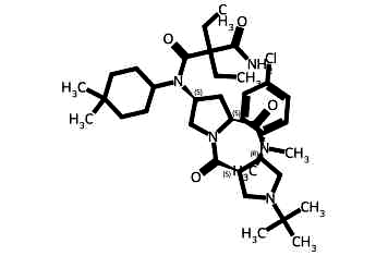 CCC(CC)(C(N)=O)C(=O)N(C1CCC(C)(C)CC1)[C@H]1C[C@@H](C(=O)N(C)C)N(C(=O)[C@@H]2CN(C(C)(C)C)C[C@H]2c2ccc(Cl)cc2)C1